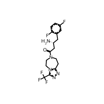 N[C@@H](CC(=O)N1CCc2nnc(C(F)(F)F)n2CC1)Cc1cc(F)ccc1F